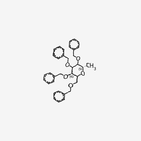 C[C@@H]1OC(COCc2ccccc2)[C@@H](OCc2ccccc2)C(OCc2ccccc2)C1OCc1ccccc1